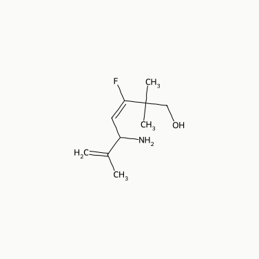 C=C(C)C(N)/C=C(/F)C(C)(C)CO